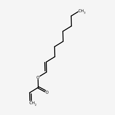 C=CC(=O)OC=CCCCCCCC